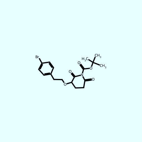 CC(C)(C)OC(=O)N1C(=O)CCC(OCCc2ccc(Br)cc2)C1=O